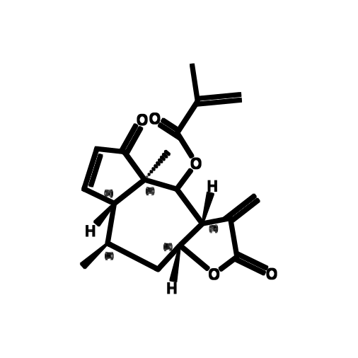 C=C(C)C(=O)OC1[C@@H]2C(=C)C(=O)O[C@@H]2C[C@@H](C)[C@@H]2C=CC(=O)[C@@]12C